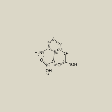 Nc1cccc(OC(=O)O)c1OC(=O)O